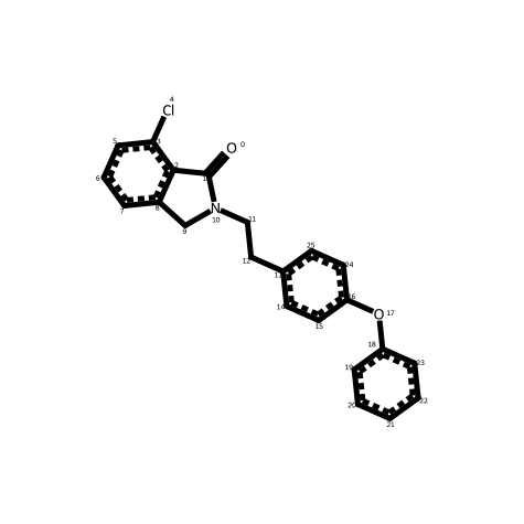 O=C1c2c(Cl)cccc2CN1CCc1ccc(Oc2ccccc2)cc1